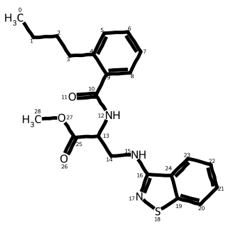 CCCCc1ccccc1C(=O)NC(CNc1nsc2ccccc12)C(=O)OC